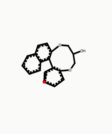 OC1COc2ccc3ccccc3c2-c2c(ccc3ccccc23)OC1